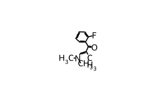 CC(=CN(C)C)C(=O)c1ccccc1F